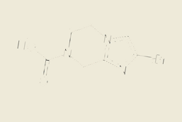 O=C(O)N1CCn2cc(Br)nc2C1